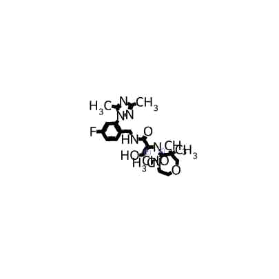 Cc1nc(C)n(-c2cc(F)ccc2CNC(=O)C(/N=C2\N(C)CCOCC2(C)C)=C(\O)C=O)n1